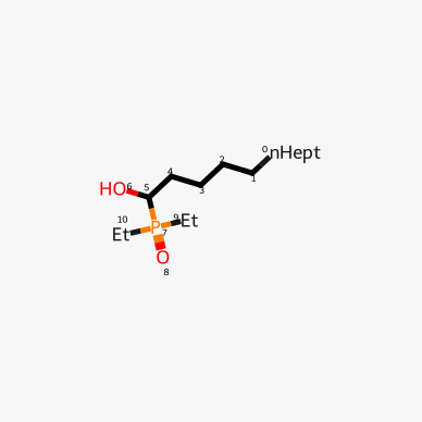 CCCCCCCCCCCC(O)P(=O)(CC)CC